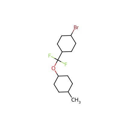 CC1CCC(OC(F)(F)C2CCC(Br)CC2)CC1